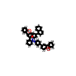 c1cc(-c2cccc3ccccc23)cc(N(c2ccc(-c3ccc4oc5ccccc5c4c3)cc2)c2ccccc2-c2ccc3oc4ccccc4c3c2)c1